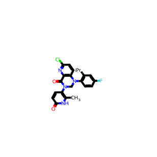 Cc1[nH]c(=O)ccc1N1CN(c2ccc(F)cc2C(C)C)c2ccc(Cl)nc2C1=O